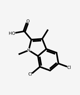 Cc1c(C(=O)O)n(C)c2c(Cl)cc(Cl)cc12